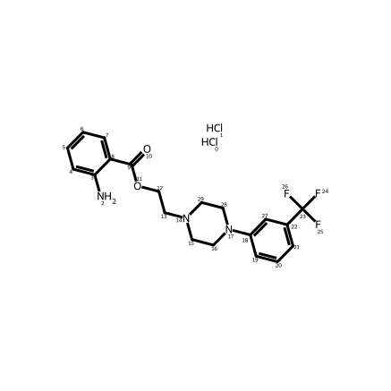 Cl.Cl.Nc1ccccc1C(=O)OCCN1CCN(c2cccc(C(F)(F)F)c2)CC1